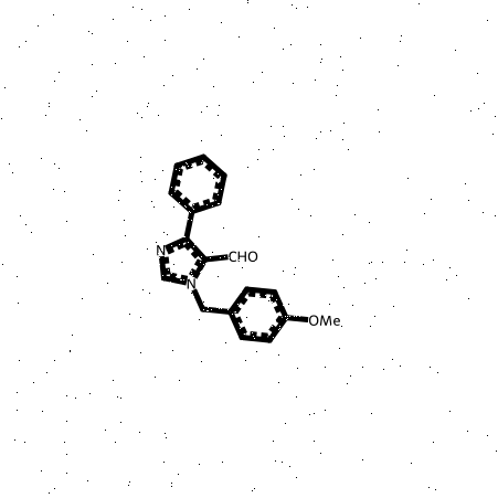 COc1ccc(Cn2cnc(-c3ccccc3)c2C=O)cc1